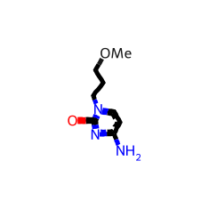 COCCCn1ccc(N)nc1=O